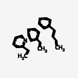 C=CC=Cc1ccccc1.C=Cc1ccccc1.C=Cc1ccccn1